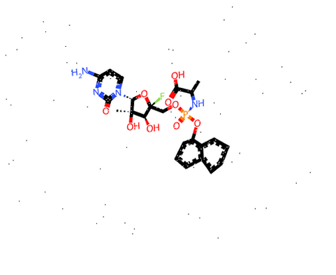 CC(N[P@@](=O)(OC[C@@]1(F)O[C@@H](n2ccc(N)nc2=O)[C@](C)(O)[C@@H]1O)Oc1cccc2ccccc12)C(=O)O